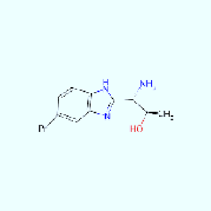 CC(C)c1ccc2[nH]c([C@H](N)[C@@H](C)O)nc2c1